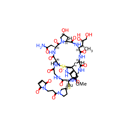 CC[C@H](C)[C@@H]1NC(=O)CNC(=O)[C@@H]2Cc3c([nH]c4c(CS[C@@H]5CCN(C(=O)CCN6C(=O)C=CC6=O)C5)c(OC)ccc34)[S+]([O-])C[C@H](NC(=O)CNC1=O)C(=O)N[C@@H](CC(N)=O)C(=O)N1C[C@H](O)C[C@H]1C(=O)N[C@@H]([C@@H](C)[C@@H](O)CO)C(=O)N2